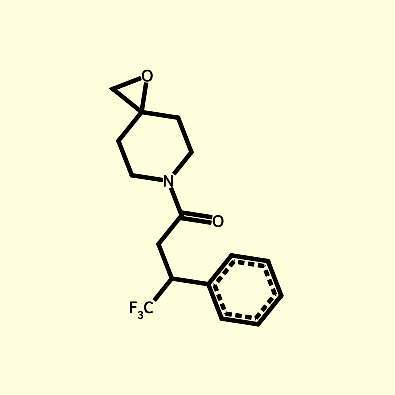 O=C(CC(c1ccccc1)C(F)(F)F)N1CCC2(CC1)CO2